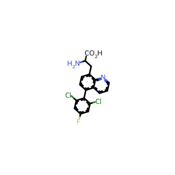 NC(Cc1ccc(-c2c(Cl)cc(F)cc2Cl)c2cccnc12)C(=O)O